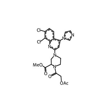 COC(=O)C1CN(c2cc(-n3ccnc3)c3ccc(Cl)c(Cl)c3n2)CCN1C(=O)COC(C)=O